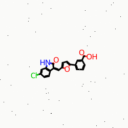 O=C1Nc2cc(Cl)ccc2C1=Cc1ccc(-c2cccc(C(=O)O)c2)o1